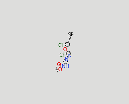 CC(C)(C)OC(=O)NC1CCN(c2nccc(Oc3ccc(C#C[Si](C)(C)C)cc3Cl)c2Cl)CC1